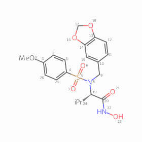 COc1ccc(S(=O)(=O)N(Cc2ccc3c(c2)OCO3)[C@@H](C(=O)NO)C(C)C)cc1